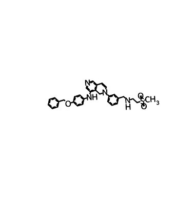 CS(=O)(=O)CCNCc1cccc(N2C=Cc3cncc(Nc4ccc(OCc5ccccc5)cc4)c3C2)c1